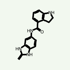 C=C1Nc2ccc(NC(=O)c3cccc4c3CCN4)cc2N1